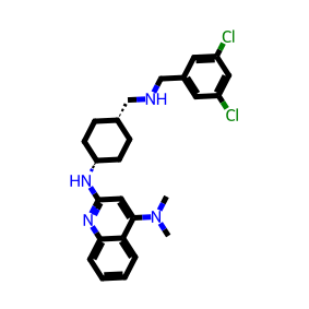 CN(C)c1cc(N[C@H]2CC[C@@H](CNCc3cc(Cl)cc(Cl)c3)CC2)nc2ccccc12